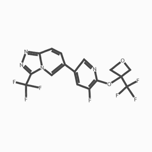 Fc1cc(-c2ccc3nnc(C(F)(F)F)n3c2)cnc1OC1(C(F)(F)F)COC1